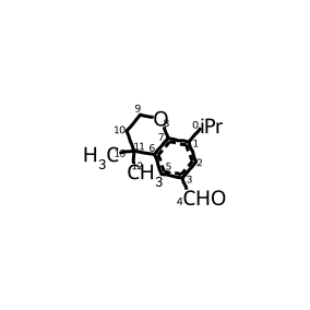 CC(C)c1cc(C=O)cc2c1OCCC2(C)C